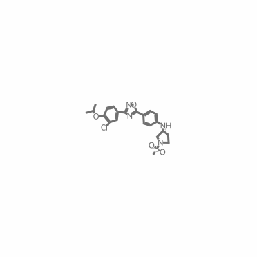 CC(C)Oc1ccc(-c2noc(-c3ccc(N[C@H]4CCN(S(C)(=O)=O)C4)cc3)n2)cc1Cl